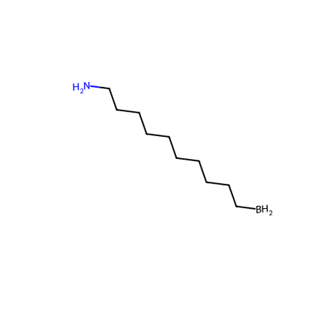 BCCCCCCCCCCN